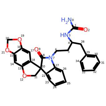 NC(=O)NC(CCN1C(=O)C2(COc3cc4c(cc32)OCO4)c2ccccc21)Cc1ccccc1